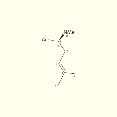 CN[C@@H](CC=C(C)C)C(C)=O